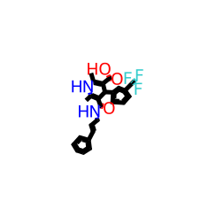 CC1=C(C(=O)O)C(c2cccc(C(F)(F)F)c2)C(C(=O)NCC=Cc2ccccc2)=C(C)N1